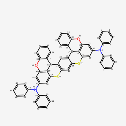 c1ccc(N(c2ccccc2)c2cc3c4c(c2)Sc2cc5c(cc2B4c2ccccc2O3)B2c3ccccc3Oc3cc(N(c4ccccc4)c4ccccc4)cc(c32)S5)cc1